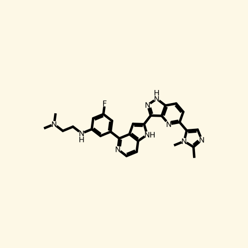 Cc1ncc(-c2ccc3[nH]nc(-c4cc5c(-c6cc(F)cc(NCCN(C)C)c6)nccc5[nH]4)c3n2)n1C